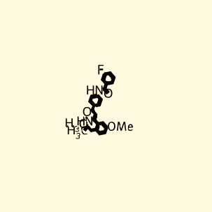 COc1ccc2c(c1)C(=CC(=O)c1ccc(NC(=O)c3cccc(F)c3)cc1)NC(C)(C)C2